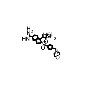 Cl.Cl.N=C(N)c1ccc2c(CC(N)=O)c(OC(=O)c3ccc(CN4CCOCC4)cc3)ccc2c1